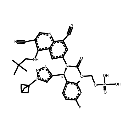 Cc1nc(F)ccc1[C@@H](c1cn(C23CC(C2)C3)nn1)N(C(=O)OCOP(=O)(O)O)c1cc(C#N)c2ncc(C#N)c(NCC(C)(C)C)c2c1